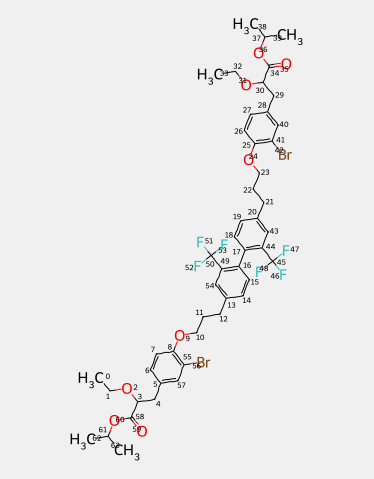 CCOC(Cc1ccc(OCCCc2ccc(-c3ccc(CCCOc4ccc(CC(OCC)C(=O)OC(C)C)cc4Br)cc3C(F)(F)F)c(C(F)(F)F)c2)c(Br)c1)C(=O)OC(C)C